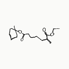 C=C(CCCCC(=O)OC1(C)CCCC1)C(=O)OCC